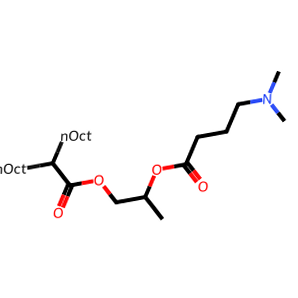 CCCCCCCCC(CCCCCCCC)C(=O)OCC(C)OC(=O)CCCN(C)C